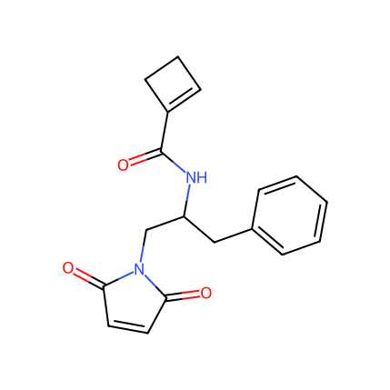 O=C(NC(Cc1ccccc1)CN1C(=O)C=CC1=O)C1=CCC1